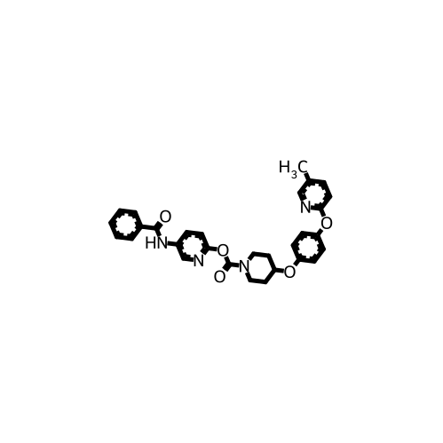 Cc1ccc(Oc2ccc(OC3CCN(C(=O)Oc4ccc(NC(=O)c5ccccc5)cn4)CC3)cc2)nc1